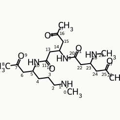 CNCCCC(CC(C)=O)NC(=O)CC(CC(C)=O)NC(=O)CC(CC(C)=O)NC